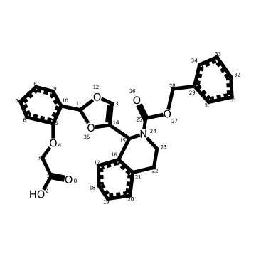 O=C(O)COc1ccccc1C1OC=C(C2c3ccccc3CCN2C(=O)OCc2ccccc2)O1